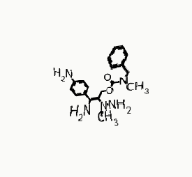 CN(Cc1ccccc1)C(=O)OC/C(=C(/N)c1ccc(N)cc1)N(C)N